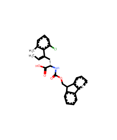 C/C=C(/C[C@H](NC(=O)OCC1c2ccccc2-c2ccccc21)C(=O)O)c1c(C)cccc1Cl